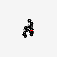 c1ccc(-c2cccc(-c3nc(-c4ccccc4)nc(-c4cccc5oc6c(-c7ccc8ccc9ccccc9c8c7)cc(-c7ccc8ccc9ccccc9c8c7)cc6c45)n3)c2)cc1